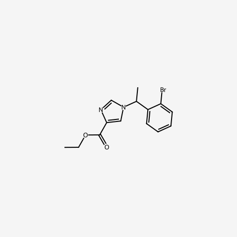 CCOC(=O)c1cn(C(C)c2ccccc2Br)cn1